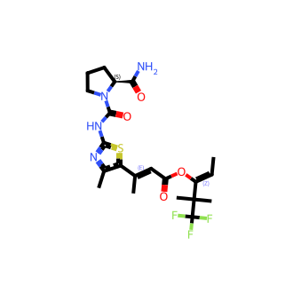 C/C=C(\OC(=O)/C=C(\C)c1sc(NC(=O)N2CCC[C@H]2C(N)=O)nc1C)C(C)(C)C(F)(F)F